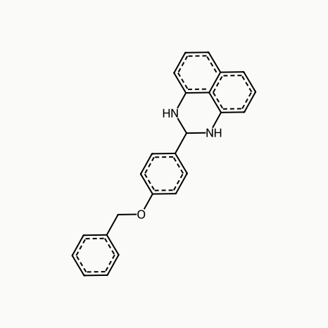 c1ccc(COc2ccc(C3Nc4cccc5cccc(c45)N3)cc2)cc1